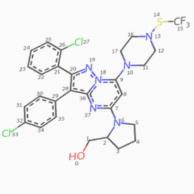 OCC1CCCN1c1cc(N2CCN(SC(F)(F)F)CC2)n2nc(-c3ccccc3Cl)c(-c3ccc(Cl)cc3)c2n1